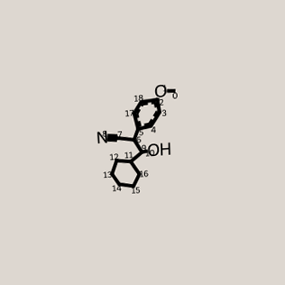 COc1ccc(C(C#N)C(O)C2CCCCC2)cc1